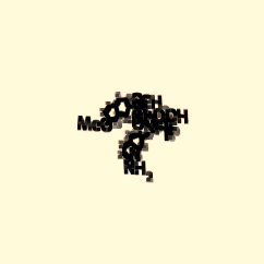 COc1ccc2ccc(S(=O)(=O)N(C)[C@H]3CCN(Cc4ccc5ccc(N)nc5c4)C3=O)cc2c1.O=C(O)C(F)(F)F